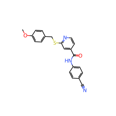 COc1ccc(CSc2cc(C(=O)Nc3ccc(C#N)cc3)ccn2)cc1